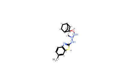 Cc1ccc2nc(NN3C[C@]4(CC5CCC4CC5)ON3)sc2c1